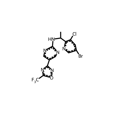 CC(Nc1ncc(-c2noc(C(F)(F)F)n2)cn1)c1ncc(Br)cc1Cl